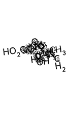 C=CCN1C[C@H](C)N(C(c2cccc(O)c2)c2cccc(C(=O)N3CCCN(CC(=O)O)CC3)c2)C[C@H]1C